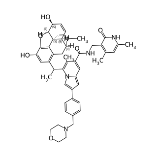 Cc1cc(C)c(CNC(=O)c2cc3cc(-c4ccc(CN5CCOCC5)cc4)cn3c(C(C)c3cc(O)c4c5c3C[C@@H]3[C@@H]6C=C[C@H](O)[C@H](O4)[C@]56CCN3C)c2C)c(=O)[nH]1